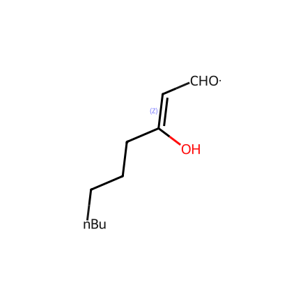 CCCCCCC/C(O)=C/[C]=O